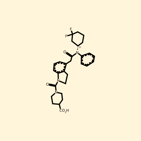 O=C(O)C1CCN(C(=O)N2CCc3c(CC(=O)N(c4ccccc4)[C@H]4CCCC(F)(F)C4)cccc32)CC1